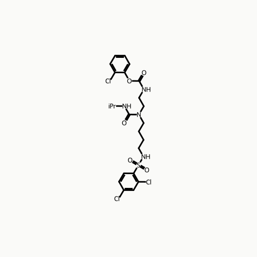 CC(C)NC(=O)N(CCCCNS(=O)(=O)c1ccc(Cl)cc1Cl)CCNC(=O)Oc1ccccc1Cl